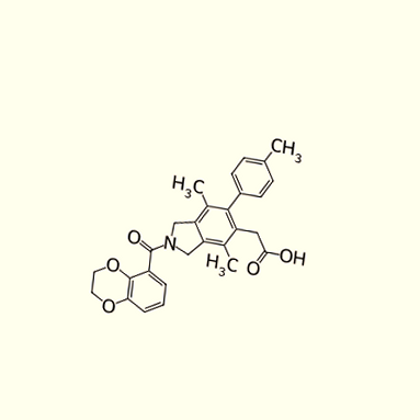 Cc1ccc(-c2c(C)c3c(c(C)c2CC(=O)O)CN(C(=O)c2cccc4c2OCCO4)C3)cc1